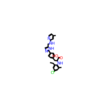 CCc1cc(Cl)cc(C)c1NC(Cc1ccc(-c2ncc(CNc3cc(C)ccn3)[nH]2)cc1)C(=O)O